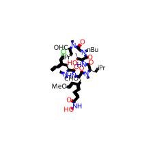 C=C/C=C(\C=C\Cl)C[C@@H](C(=O)N[C@@H](CC(=C/C=C/C(=O)NO)/C=C/OC)C(=O)N(C)[C@@H](CC(C)C)C(=O)NC(C(=O)N(CCCC)CC(=O)N(C)[C@H](C=O)CC(C)C)[C@@H](C)O)N(C)C=O